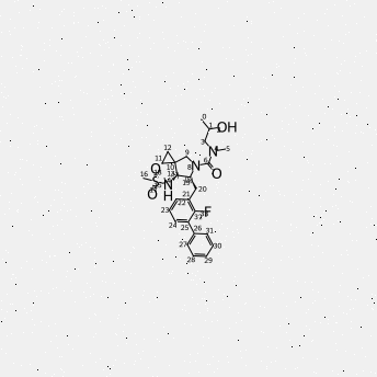 CC(O)CN(C)C(=O)N1CC2(CC2)[C@H](NS(C)(=O)=O)[C@@H]1Cc1cccc(-c2ccccc2)c1F